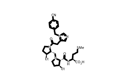 CC[C@H]1CCN(C[C@@H]2[C@@H](CC)CCN2C(=O)Cc2cncn2Cc2ccc(C#N)cc2)[C@@H]1C(=O)N[C@@H](CCSC)C(=O)O